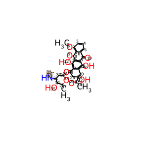 COc1cccc2c1C(=O)c1c(O)c3c(c(O)c1C2=O)C[C@@](O)(C(C)=O)C[C@@H]3OC1CC(NBr)C(O)C(C)O1